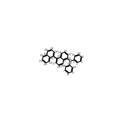 c1ccc(P(c2ccccc2)c2cccc3c(-c4cccc5ccccc45)cccc23)cc1